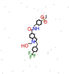 CCS(=O)(=O)c1ccc(CNC(=O)c2ccc3c(c2)cc(Cc2ccc(C(F)(F)F)cc2)n3CCO)cc1